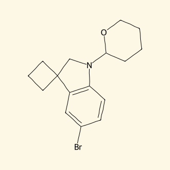 Brc1ccc2c(c1)C1(CCC1)CN2C1CCCCO1